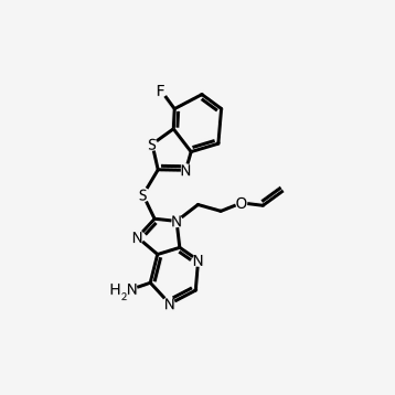 C=COCCn1c(Sc2nc3cccc(F)c3s2)nc2c(N)ncnc21